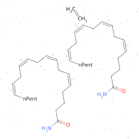 C=C.CCCCC/C=C\C/C=C\C/C=C\C/C=C\CCCC(N)=O.CCCCC/C=C\C/C=C\C/C=C\C/C=C\CCCC(N)=O